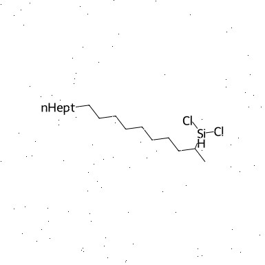 CCCCCCCCCCCCCCCC(C)[SiH](Cl)Cl